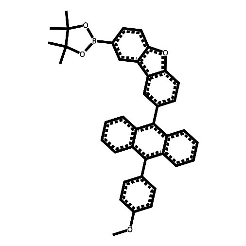 COc1ccc(-c2c3ccccc3c(-c3ccc4oc5ccc(B6OC(C)(C)C(C)(C)O6)cc5c4c3)c3ccccc23)cc1